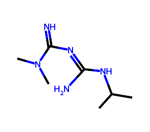 CC(C)N/C(N)=N/C(=N)N(C)C